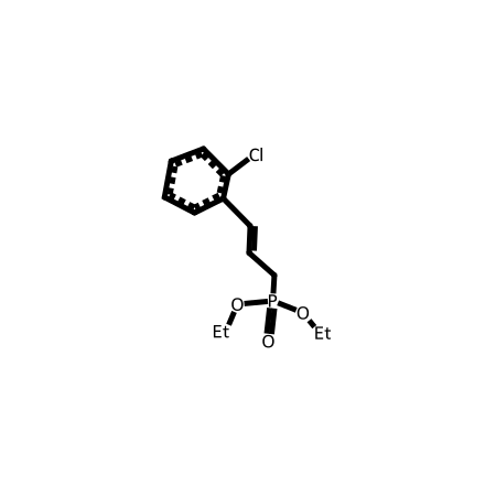 CCOP(=O)(C/C=C/c1ccccc1Cl)OCC